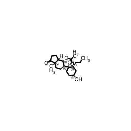 CCC[C@H]1C[C@@H](O)CC[C@]1(C)[C@H]1CC[C@]2(C)C(=O)CC[C@H]2[C@@H]1OC(C)=O